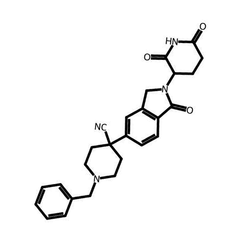 N#CC1(c2ccc3c(c2)CN(C2CCC(=O)NC2=O)C3=O)CCN(Cc2ccccc2)CC1